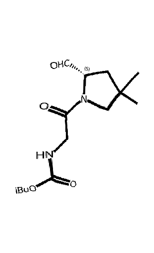 CC(C)COC(=O)NCC(=O)N1CC(C)(C)C[C@H]1C=O